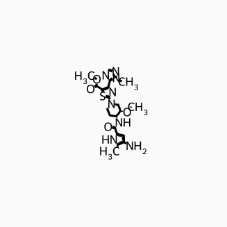 COC(=O)c1sc(N2CC[C@@H](NC(=O)c3cc(N)c(C)[nH]3)[C@@H](OC)C2)nc1-c1ncnn1C